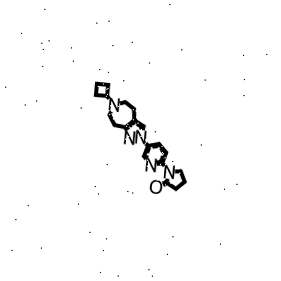 O=C1CCCN1c1ccc(-n2cc3c(n2)CCN(C2CCC2)CC3)cn1